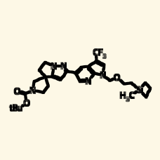 CC(C)(C)OC(=O)N1CCC2(CCn3nc(-c4cnc5c(c4)c(C(F)(F)F)cn5COCC[Si]4(C)CCC4)cc32)C1